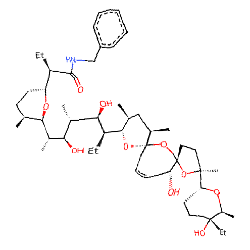 CC[C@@H]([C@H](O)[C@@H](C)[C@@H](O)[C@H](C)[C@@H]1O[C@@H]([C@@H](CC)C(=O)NCc2ccccc2)CC[C@@H]1C)[C@H]1O[C@]2(C=C[C@@H](O)[C@]3(CC[C@@](C)([C@H]4CC[C@](O)(CC)[C@H](C)O4)O3)O2)[C@H](C)C[C@@H]1C